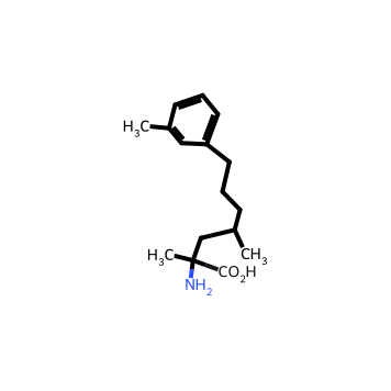 Cc1cccc(CCCC(C)CC(C)(N)C(=O)O)c1